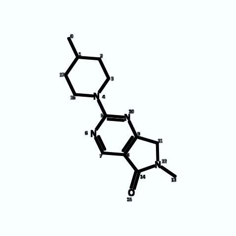 CC1CCN(c2ncc3c(n2)CN(C)C3=O)CC1